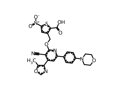 Cc1ocnc1-c1cc(-c2ccc(N3CCOCC3)cc2)nc(OCc2cc([N+](=O)[O-])sc2C(=O)O)c1C#N